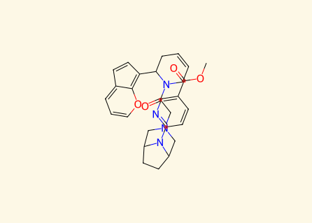 COC(=O)c1ccc(N2C3CCC2CN(CC(=O)N2CC=CCC2c2ccc4cccoc2-4)C3)nc1